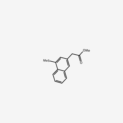 COC(=O)Cc1cc(SC)c2ccccc2c1